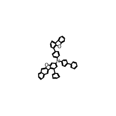 c1ccc(-c2ccc(N(c3ccc(-c4cccc5c4oc4ccccc45)cc3)c3cc(-c4ccccc4)c4c(c3)oc3cc5ccccc5cc34)cc2)cc1